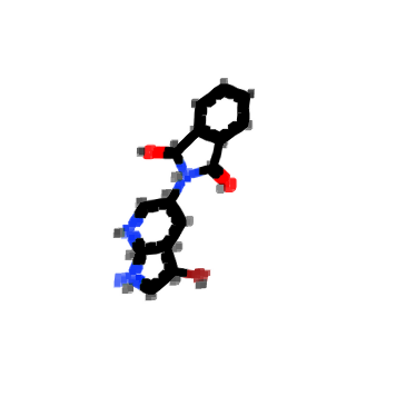 O=C1c2ccccc2C(=O)N1c1cnc2[nH]cc(Br)c2c1